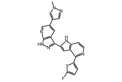 Cn1cc(-c2cnc3[nH]nc(-c4cc5c(-c6ccc(F)s6)nccc5[nH]4)c3c2)cn1